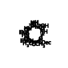 CCCCCCCCCC[C@H]1OCCNC(=O)[C@H](CO)NC(=O)[C@H](CN)NC(=O)[C@H]([C@H](C)CC)NC(=O)[C@H](CC(C)C)N(C)C(=O)[C@@H]1C